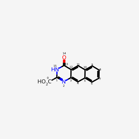 O=C(O)c1nc2cc3ccccc3cc2c(=O)[nH]1